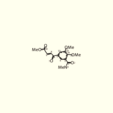 CNC(=O)c1cc(C(=O)/C=C/C(=O)OC)cc(OC)c1OC